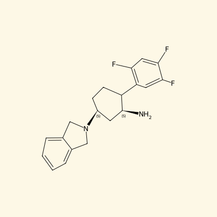 N[C@H]1C[C@@H](N2Cc3ccccc3C2)CCC1c1cc(F)c(F)cc1F